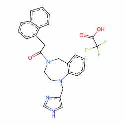 O=C(Cc1cccc2ccccc12)N1CCN(Cc2c[nH]cn2)c2ccccc2C1.O=C(O)C(F)(F)F